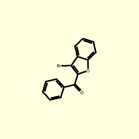 O=C(c1ccccc1)c1oc2ccccc2c1Br